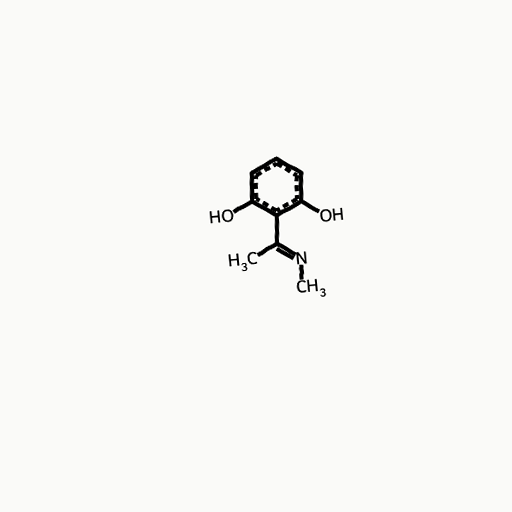 CN=C(C)c1c(O)cccc1O